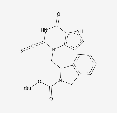 CC(C)(C)OC(=O)N1Cc2ccccc2C1CN1C(=C=S)NC(=O)c2[nH]ccc21